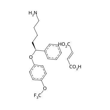 NCCCC[C@H](Oc1ccc(OC(F)(F)F)cc1)c1ccccc1.O=C(O)C=CC(=O)O